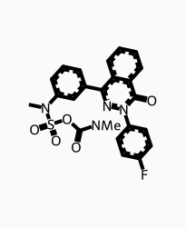 CNC(=O)OS(=O)(=O)N(C)c1cccc(-c2nn(-c3ccc(F)cc3)c(=O)c3ccccc23)c1